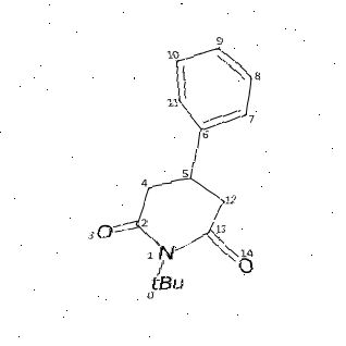 CC(C)(C)N1C(=O)CC(c2ccccc2)CC1=O